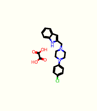 Clc1ccc(N2CCN(Cc3cc4ccccc4[nH]3)CC2)cc1.O=C(O)C(=O)O